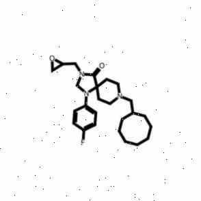 O=C1N(CC2CO2)CN(c2ccc(F)cc2)C12CCN(CC1CCCCCCC1)CC2